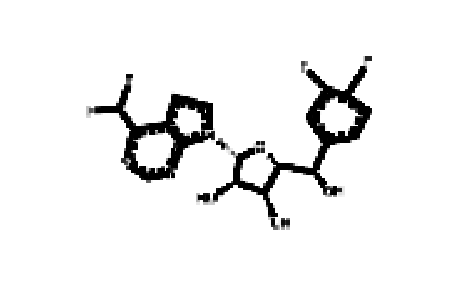 O[C@@H]1[C@H](O)[C@@H]([C@H](O)c2ccc(F)c(F)c2)O[C@H]1n1ccc2c(C(F)F)ncnc21